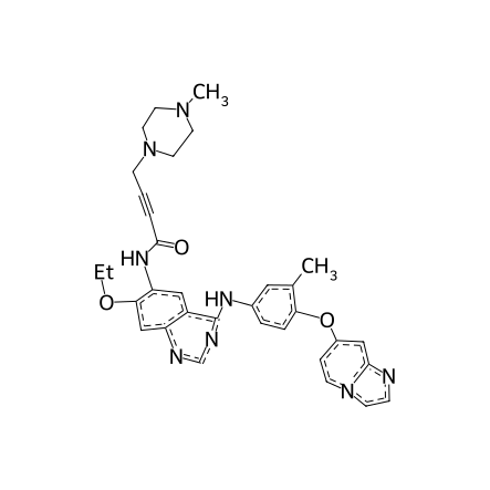 CCOc1cc2ncnc(Nc3ccc(Oc4ccn5ccnc5c4)c(C)c3)c2cc1NC(=O)C#CCN1CCN(C)CC1